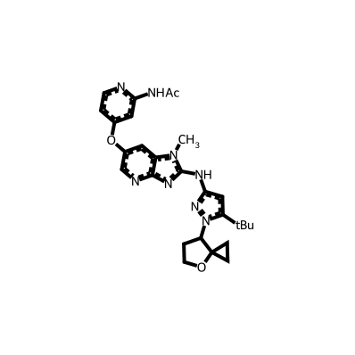 CC(=O)Nc1cc(Oc2cnc3nc(Nc4cc(C(C)(C)C)n(C5CCOC56CC6)n4)n(C)c3c2)ccn1